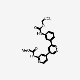 COC(=O)Nc1cc(-c2cnnc(-c3cccc(NC(=O)OCC(Cl)(Cl)Cl)c3)c2)ccn1